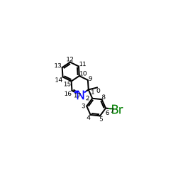 CC1(c2cccc(Br)c2)Cc2ccccc2C=N1